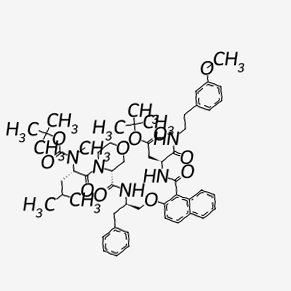 COc1cccc(CCNC(=O)[C@H](CC(=O)OC(C)(C)C)NC(=O)c2c(OC[C@@H](Cc3ccccc3)NC(=O)[C@H]3COCCN3C(=O)[C@H](CC(C)C)N(C)C(=O)OC(C)(C)C)ccc3ccccc23)c1